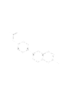 CCC(=O)Nc1ccc(-c2ccc3nc(N)ncc3c2)cc1